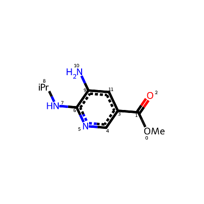 COC(=O)c1cnc(NC(C)C)c(N)c1